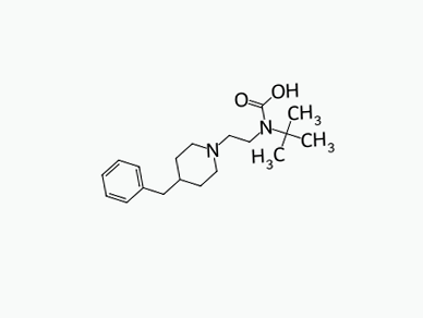 CC(C)(C)N(CCN1CCC(Cc2ccccc2)CC1)C(=O)O